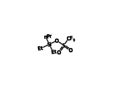 CCC[Si](CC)(CC)OS(=O)(=O)C(F)(F)F